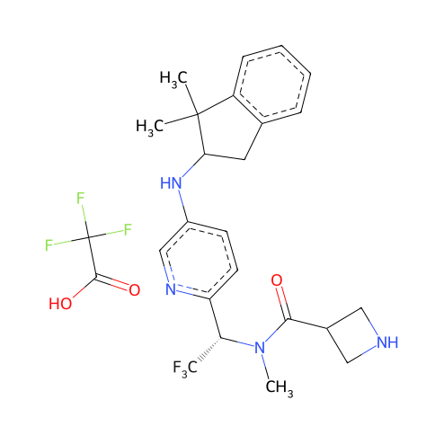 CN(C(=O)C1CNC1)[C@@H](c1ccc(NC2Cc3ccccc3C2(C)C)cn1)C(F)(F)F.O=C(O)C(F)(F)F